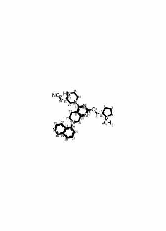 CN1CCC[C@H]1COc1nc2c(c(N3CCN[C@@H](CC#N)C3)n1)CCN(c1cccc3cnccc13)C2